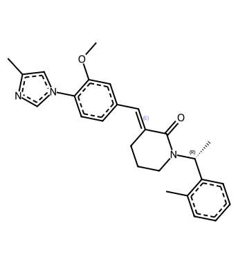 COc1cc(/C=C2\CCCN([C@H](C)c3ccccc3C)C2=O)ccc1-n1cnc(C)c1